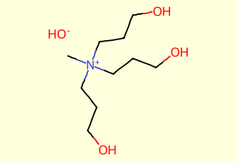 C[N+](CCCO)(CCCO)CCCO.[OH-]